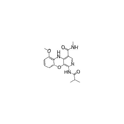 CNC(=O)c1cnc(NC(=O)C(C)C)c2c1Nc1c(OC)cccc1O2